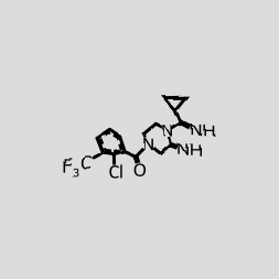 N=C1CN(C(=O)c2cccc(C(F)(F)F)c2Cl)CCN1C(=N)C1CC1